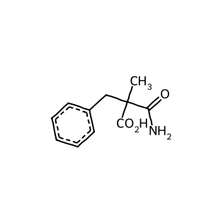 CC(Cc1ccccc1)(C(N)=O)C(=O)O